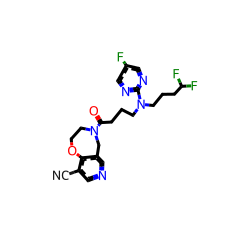 N#Cc1cncc2c1OCCN(C(=O)CCCN(CCCC(F)F)c1ncc(F)cn1)C2